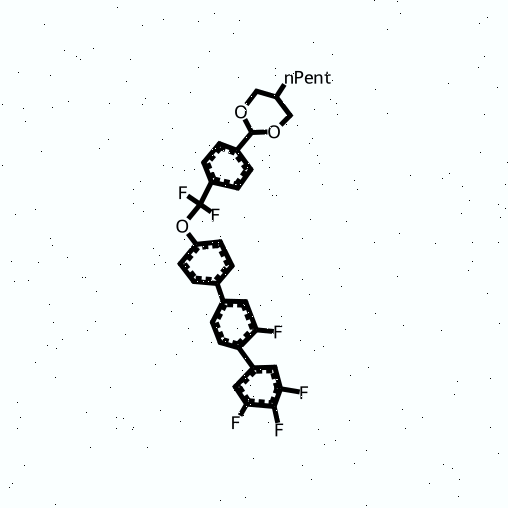 CCCCCC1COC(c2ccc(C(F)(F)Oc3ccc(-c4ccc(-c5cc(F)c(F)c(F)c5)c(F)c4)cc3)cc2)OC1